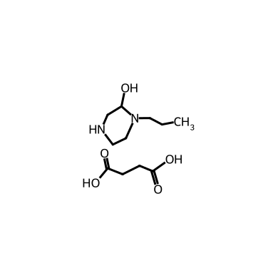 CCCN1CCNCC1O.O=C(O)CCC(=O)O